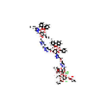 BCC[C@@H]1[C@H](OCc2cn(CCn3cc(CO[C@@H]4OC(n5cc(COCc6cn(CC7O[C@@](CCl)(O[C@H]8O[C@H](COC(C)=O)[C@H](Cl)[C@H](OC(C)=O)[C@@H]8OC(C)=O)[C@@H](OC(C)=O)[C@@H]7OC(C)=O)nn6)nn5)[C@@H](OC(=O)c5ccccc5)[C@H](OC(=O)c5ccccc5)[C@@H]4OC(=O)c4ccccc4)nn3)nn2)O[C@H](Cn2cc(C)nn2)[C@@H](OC(=O)c2ccccc2)[C@@H]1OC(=O)c1ccccc1